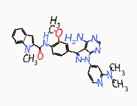 COc1cc(-c2nn(-c3ccnc(N(C)C)c3)c3ncnc(N)c23)ccc1NC(=O)c1cc2ccccc2n1C